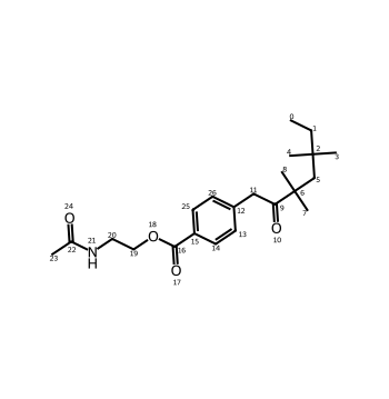 CCC(C)(C)CC(C)(C)C(=O)Cc1ccc(C(=O)OCCNC(C)=O)cc1